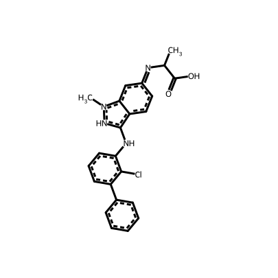 CC(N=c1ccc2c(Nc3cccc(-c4ccccc4)c3Cl)[nH]n(C)c-2c1)C(=O)O